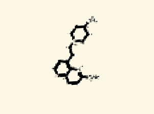 COc1ccc2nccc(CCN3CCC(N)CC3)c2n1